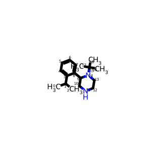 CC(C)c1ccccc1C1CNCCN1C(C)(C)C